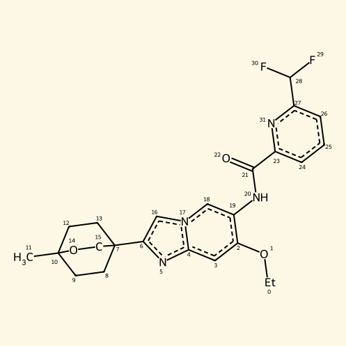 CCOc1cc2nc(C34CCC(C)(CC3)OC4)cn2cc1NC(=O)c1cccc(C(F)F)n1